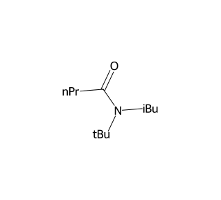 [CH2]CCC(=O)N(C(C)CC)C(C)(C)C